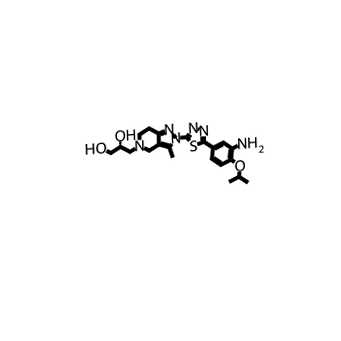 Cc1c2c(nn1-c1nnc(-c3ccc(OC(C)C)c(N)c3)s1)CCN(C[C@H](O)CO)C2